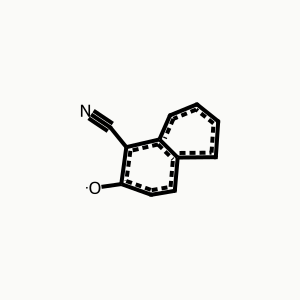 N#Cc1c([O])ccc2ccccc12